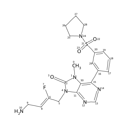 Cn1c(=O)n(CC(F)=CCN)c2ncnc(-c3cccc(S(=O)(=O)N4CCCC4)c3)c21